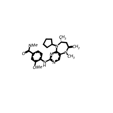 C=C1C[C@@H](C)N(C2CCCC2)c2nc(Nc3ccc(C(=O)NC)cc3OC)ncc2N1C